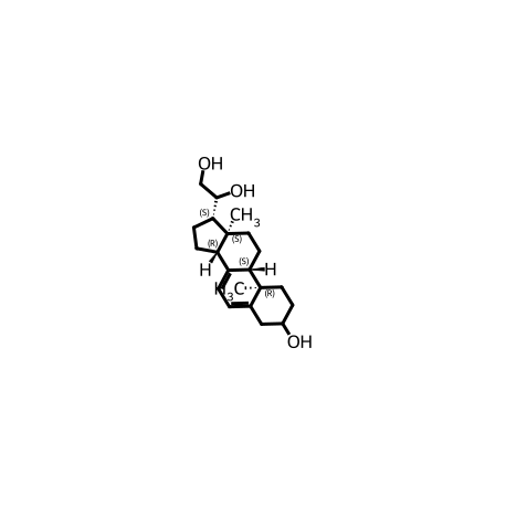 C[C@]12CC[C@H]3C(=CC=C4CC(O)CC[C@@]43C)[C@@H]1CC[C@@H]2C(O)CO